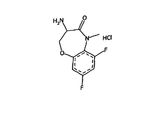 CN1C(=O)C(N)COc2cc(F)cc(F)c21.Cl